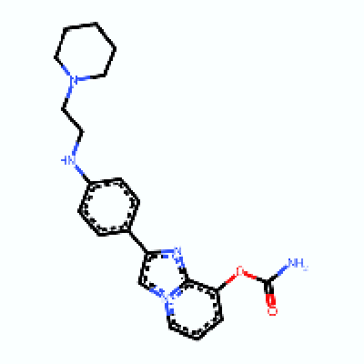 NC(=O)Oc1cccn2cc(-c3ccc(NCCN4CCCCC4)cc3)nc12